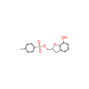 Cc1ccc(S(=O)(=O)OCC2Cc3cccc(O)c3O2)cc1